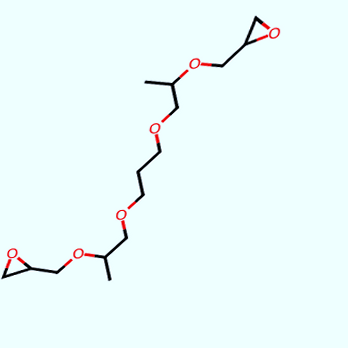 CC(COCCCOCC(C)OCC1CO1)OCC1CO1